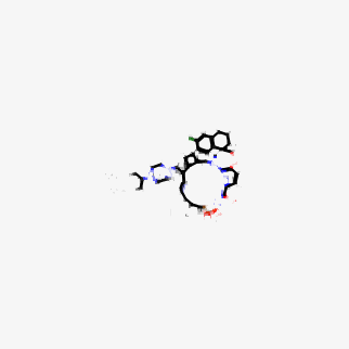 COCC(COC)N1CCN(C[C@]2(OC)/C=C/C[C@H](C)[C@@H](C)S(=O)(=O)NC(=O)c3ccc4c(n3)N(C[C@@H]3CC[C@H]32)C[C@@]2(CCCc3cc(Cl)ccc32)CO4)CC1